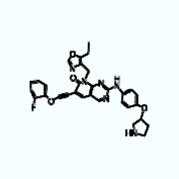 CCc1ocnc1Cn1c(=O)c(C#COc2ccccc2F)cc2cnc(Nc3ccc(OC4CCNC4)cc3)nc21